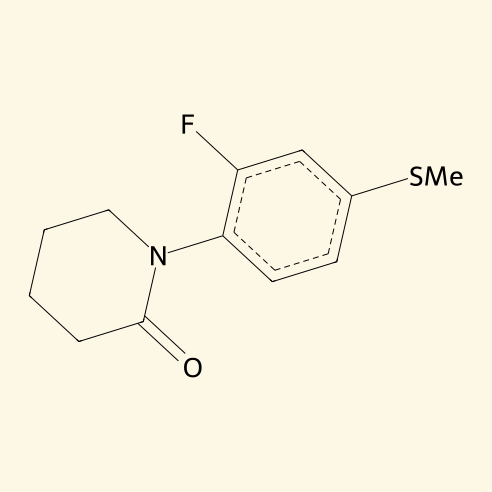 CSc1ccc(N2CCCCC2=O)c(F)c1